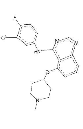 CN1CCC(Oc2cccc3ncnc(Nc4ccc(F)c(Cl)c4)c23)CC1